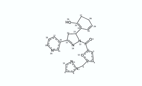 O=C(c1ccc(Cn2cccn2)o1)N1N=C(c2cccnc2)CC1C1=C(O)CCC=C1